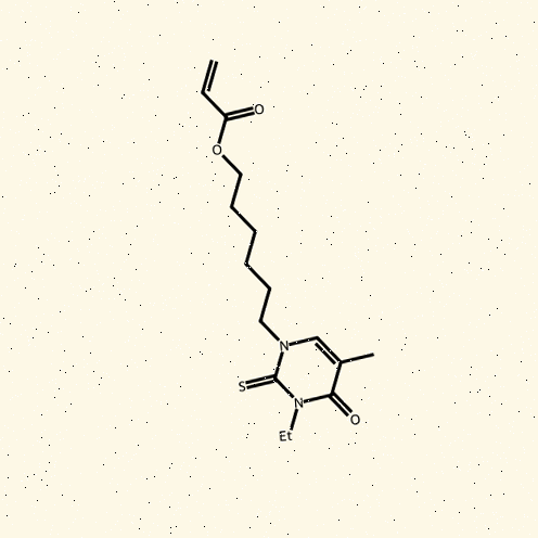 C=CC(=O)OCCCCCCn1cc(C)c(=O)n(CC)c1=S